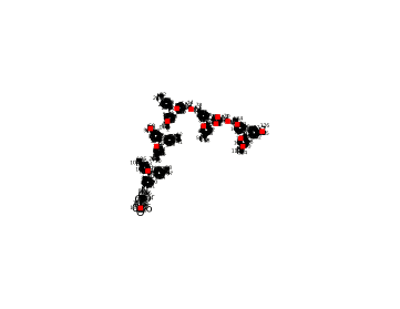 CN(C)c1ccc([C+](c2ccc(N(C)C)cc2)c2ccc(N(C)C)cc2)cc1.CN(C)c1ccc([C+](c2ccc(N(C)C)cc2)c2ccc(N(C)C)cc2)cc1.CN(C)c1ccc([C+](c2ccc(N(C)C)cc2)c2ccc(N(C)C)cc2)cc1.CN(C)c1ccc([C+](c2ccc(N(C)C)cc2)c2ccc(N(C)C)cc2)cc1.CN(C)c1ccc([C+](c2ccc(N(C)C)cc2)c2ccc(N(C)C)cc2)cc1.O=P([O-])([O-])[O-].[O]=[Mo](=[O])([O-])[O-]